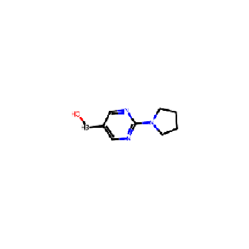 OBc1cnc(N2CCCC2)nc1